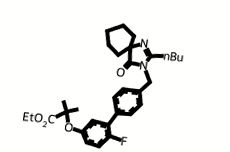 CCCCC1=NC2(CCCCC2)C(=O)N1Cc1ccc(-c2cc(OC(C)(C)C(=O)OCC)ccc2F)cc1